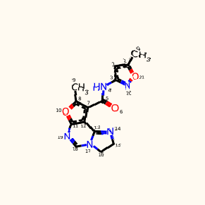 Cc1cc(NC(=O)c2c(C)oc3c2C2=NCCN2C=N3)no1